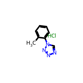 Cc1ccccc1-n1cnnn1.Cl